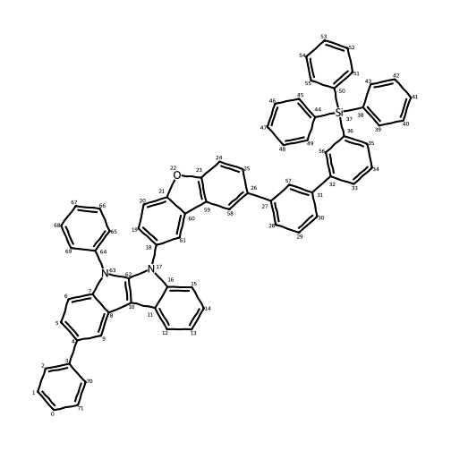 c1ccc(-c2ccc3c(c2)c2c4ccccc4n(-c4ccc5oc6ccc(-c7cccc(-c8cccc([Si](c9ccccc9)(c9ccccc9)c9ccccc9)c8)c7)cc6c5c4)c2n3-c2ccccc2)cc1